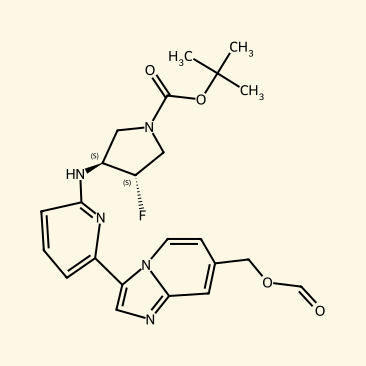 CC(C)(C)OC(=O)N1C[C@H](Nc2cccc(-c3cnc4cc(COC=O)ccn34)n2)[C@@H](F)C1